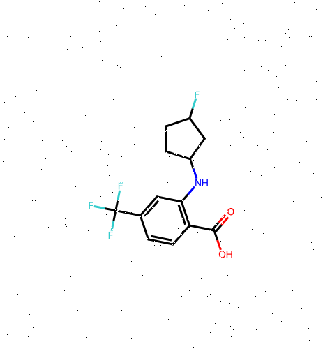 O=C(O)c1ccc(C(F)(F)F)cc1NC1CCC(F)C1